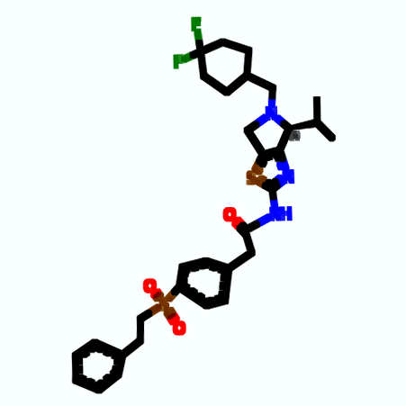 CC(C)[C@H]1c2nc(NC(=O)Cc3ccc(S(=O)(=O)CCc4ccccc4)cc3)sc2CN1CC1CCC(F)(F)CC1